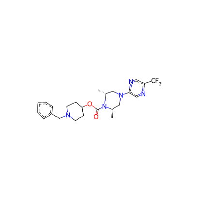 C[C@@H]1CN(c2cnc(C(F)(F)F)cn2)C[C@@H](C)N1C(=O)OC1CCN(Cc2ccccc2)CC1